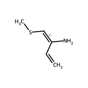 C=C/C(N)=C\SC